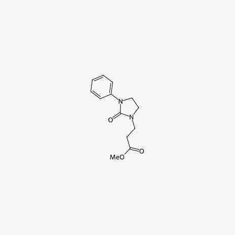 COC(=O)CCN1CCN(c2ccccc2)C1=O